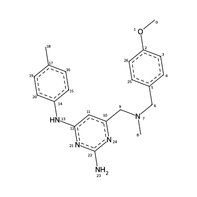 COc1ccc(CN(C)Cc2cc(Nc3ccc(C)cc3)nc(N)n2)cc1